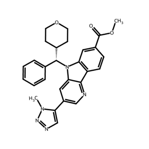 COC(=O)c1ccc2c3ncc(-c4cnnn4C)cc3n([C@H](c3ccccc3)C3CCOCC3)c2c1